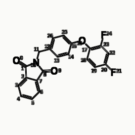 O=C1c2ccccc2C(=O)N1Cc1ccc(Oc2ccc(F)cc2F)cc1